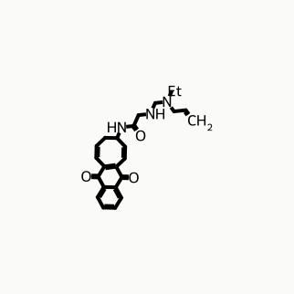 C=CCN(CC)CNCC(=O)NC1C=CC2=C(/C=C\C1)C(=O)c1ccccc1C2=O